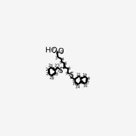 O=C(O)CCCCC(CCSCc1ccc2ccccc2c1)SCc1ccccc1